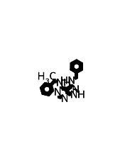 C[C@H](Nc1ncnc2[nH]nc(NCc3ccccc3)c12)c1ccccc1